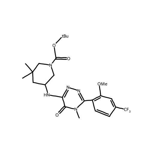 COc1cc(C(F)(F)F)ccc1-c1nnc(NC2CN(C(=O)OC(C)(C)C)CC(C)(C)C2)c(=O)n1C